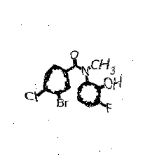 CN(C(=O)c1ccc(Cl)c(Br)c1)c1cccc(F)c1O